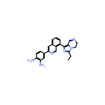 CCc1nc(-c2cccc3cc(-c4ccc(N)c(N)c4)ncc23)c2n1CCN=C2